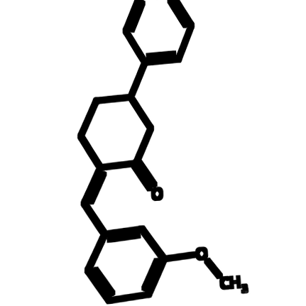 COc1cccc(/C=C2/CCC(c3ccccc3)CC2=O)c1